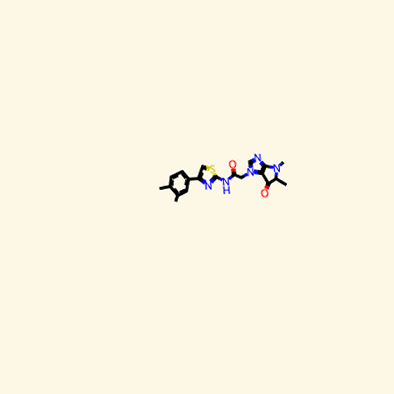 Cc1ccc(-c2csc(NC(=O)Cn3cnc4c3C(=O)C(C)N4C)n2)cc1C